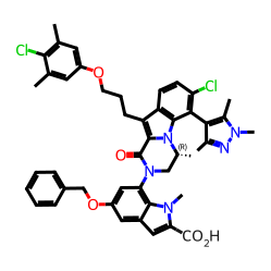 Cc1cc(OCCCc2c3n(c4c(-c5c(C)nn(C)c5C)c(Cl)ccc24)[C@H](C)CN(c2cc(OCc4ccccc4)cc4cc(C(=O)O)n(C)c24)C3=O)cc(C)c1Cl